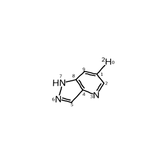 [2H]c1cnc2cn[nH]c2c1